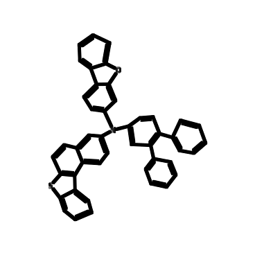 c1ccc(-c2ccc(N(c3ccc4c(ccc5sc6ccccc6c54)c3)c3ccc4c(c3)oc3ccccc34)cc2-c2ccccc2)cc1